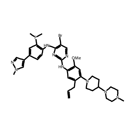 C=CCc1cc(Nc2ncc(Br)c(Nc3ccc(-c4cnn(C)c4)cc3P(C)C)n2)c(OC)cc1N1CCC(N2CCN(C)CC2)CC1